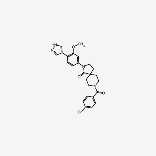 COc1cc(N2CCC3(CCN(C(=O)c4ccc(Br)cc4)CC3)C2=O)ccc1-c1cn[nH]c1